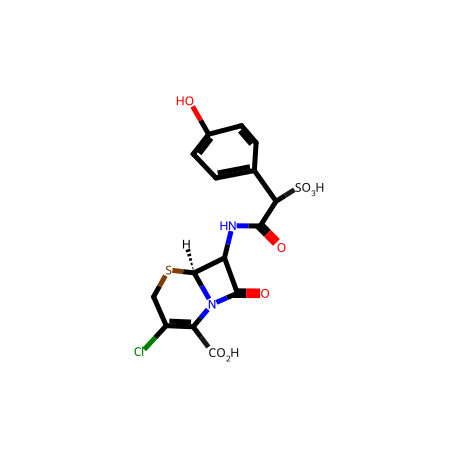 O=C(O)C1=C(Cl)CS[C@H]2C(NC(=O)C(c3ccc(O)cc3)S(=O)(=O)O)C(=O)N12